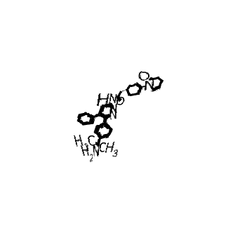 CC(C)(N)c1ccc(-c2nnc(NC(=O)C[C@H]3CC[C@H](N4CCCCC4=O)CC3)cc2-c2ccccc2)cc1